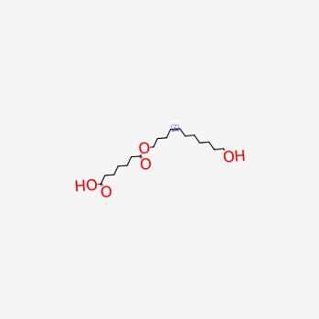 O=C(O)CCCCCC(=O)OCCC/C=C\CCCCCCO